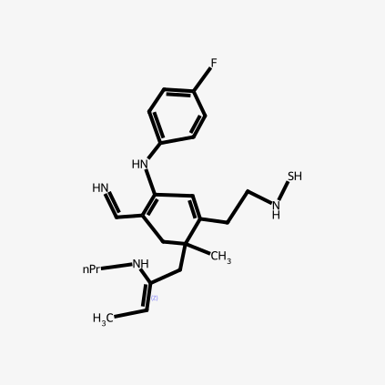 C/C=C(/CC1(C)CC(C=N)=C(Nc2ccc(F)cc2)C=C1CCNS)NCCC